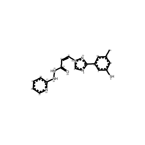 Cc1cc(S)cc(-c2ncn(/C=C\C(=O)NNc3ccccn3)n2)c1